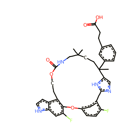 CC1(C)CCC(C)(c2cccc(CCC(=O)O)c2)c2cnc([nH]2)-c2cc(ccc2F)Oc2c(F)cc3[nH]ccc3c2CCOC(=O)NC1